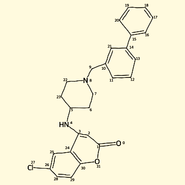 O=c1cc(NC2CCN(Cc3cccc(-c4ccccc4)c3)CC2)c2cc(Cl)ccc2o1